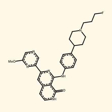 COc1cncc(-c2cc3cc[nH]c(=O)c3c(Nc3ccc(C4CCN(CCCF)CC4)cc3)n2)n1